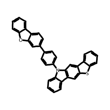 c1ccc2c(c1)oc1cc(-c3ccc(-n4c5ccccc5c5cc6sc7ccccc7c6cc54)cc3)ccc12